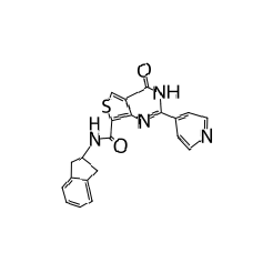 O=C(NC1Cc2ccccc2C1)c1scc2c(=O)[nH]c(-c3ccncc3)nc12